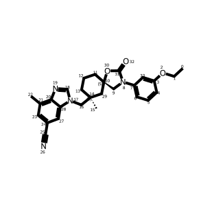 CCOc1cccc(N2C[C@@]3(CCC[C@](C)(Cn4cnc5c(C)cc(C#N)cc54)C3)OC2=O)c1